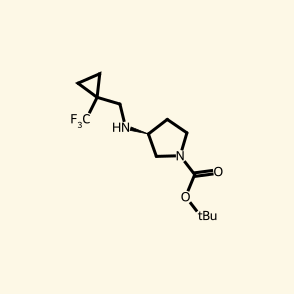 CC(C)(C)OC(=O)N1CC[C@H](NCC2(C(F)(F)F)CC2)C1